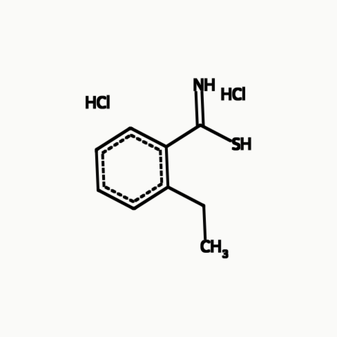 CCc1ccccc1C(=N)S.Cl.Cl